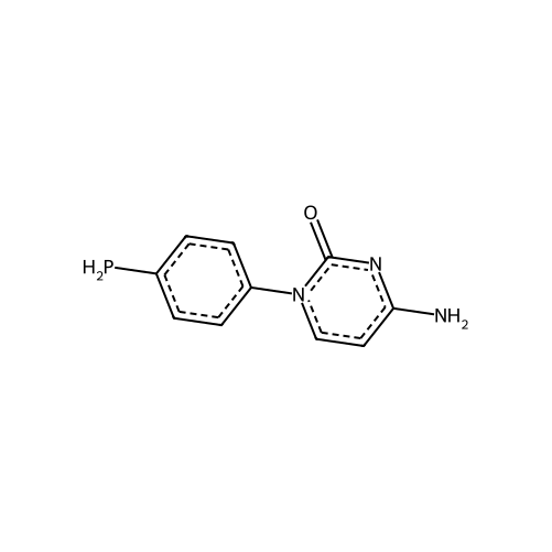 Nc1ccn(-c2ccc(P)cc2)c(=O)n1